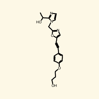 CC(O)c1nccn1Cc1ncc(C#Cc2ccc(OCCCO)cc2)o1